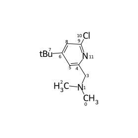 CN(C)Cc1cc(C(C)(C)C)cc(Cl)n1